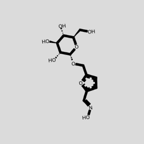 OC[C@H]1O[C@H](OCc2ccc(/C=N/O)o2)[C@H](O)[C@@H](O)[C@@H]1O